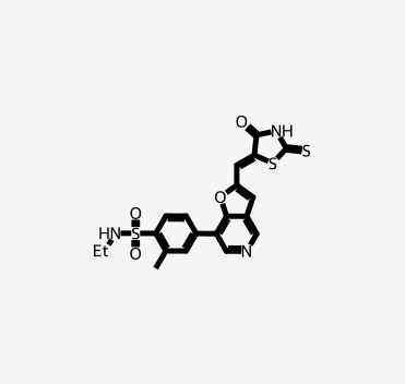 CCNS(=O)(=O)c1ccc(-c2cncc3cc(/C=C4\SC(=S)NC4=O)oc23)cc1C